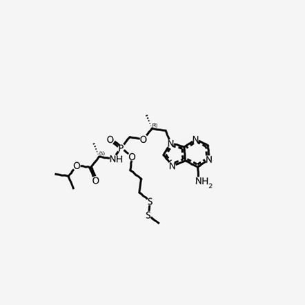 CSSCCCOP(=O)(CO[C@H](C)Cn1cnc2c(N)ncnc21)N[C@@H](C)C(=O)OC(C)C